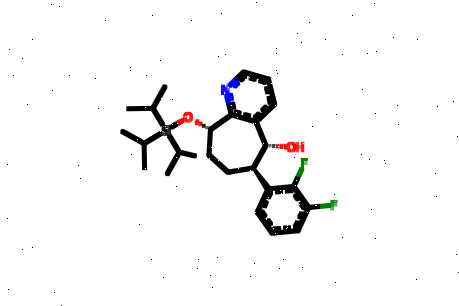 CC(C)[Si](O[C@H]1CC[C@H](c2cccc(F)c2F)[C@@H](O)c2cccnc21)(C(C)C)C(C)C